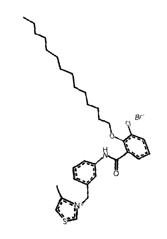 CCCCCCCCCCCCCCOc1c(Cl)cccc1C(=O)Nc1cccc(C[n+]2cscc2C)c1.[Br-]